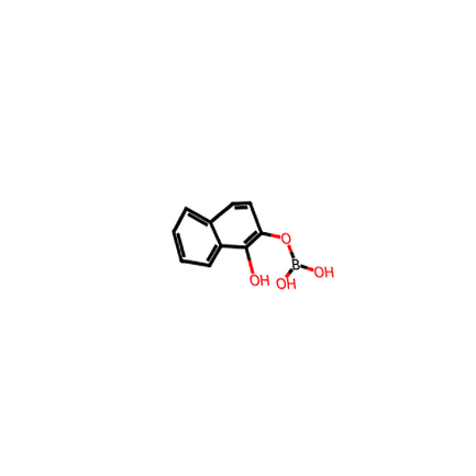 OB(O)Oc1ccc2ccccc2c1O